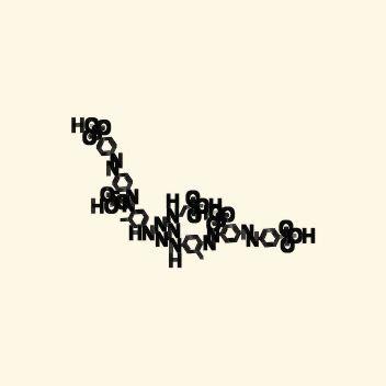 Cc1cc(Nc2nc(NCCS(=O)(=O)O)nc(NC3=CC=C(N=Nc4ccc(N=Nc5ccc(S(=O)(=O)O)cc5)cc4S(=O)(=O)O)C(C)C3)n2)ccc1N=Nc1ccc(N=Nc2ccc(S(=O)(=O)O)cc2)cc1S(=O)(=O)O